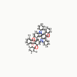 Cc1cccc2c1Oc1cc(-n3c4ccccc4c4c5oc6ccccc6c5c5c(c6ccccc6n5-c5ccccc5)c43)cc3c1B2c1cccc(C)c1O3